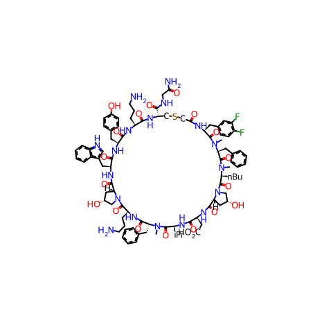 CCCC[C@H]1C(=O)N2C[C@H](O)C[C@@H]2C(=O)N[C@@H](CC(=O)O)C(=O)N[C@@H](C(C)C)C(=O)N(C)[C@H](Cc2ccccc2)C(=O)N[C@@H](CCCN)C(=O)N2C[C@H](O)C[C@@H]2C(=O)N[C@@H](Cc2c[nH]c3ccccc23)C(=O)N[C@@H](Cc2ccc(O)cc2)C(=O)N[C@@H](CCCN)C(=O)N[C@H](C(=O)NCC(N)=O)CSCC(=O)N[C@@H](Cc2ccc(F)c(F)c2)C(=O)N(C)[C@@H](Cc2ccccc2)C(=O)N1C